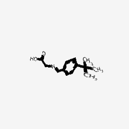 CC(C)(C)c1ccc(C=NCC(=O)O)cc1